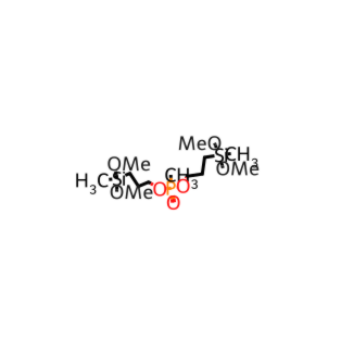 CO[Si](C)(CCCOP(C)(=O)OCCC[Si](C)(OC)OC)OC